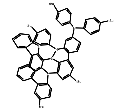 CC(C)(C)c1ccc(N2B3c4c(cc(C(C)(C)C)cc4N(c4ccc(C(C)(C)C)cc4-c4ccccc4)c4ccc5c(oc6ccccc65)c43)-c3ccc(N(c4ccc(C(C)(C)C)cc4)c4ccc(C(C)(C)C)cc4)cc32)cc1